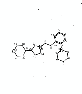 c1ccc(N2CCCCC2)c(CCN2CCC(C3CCOCC3)C2)c1